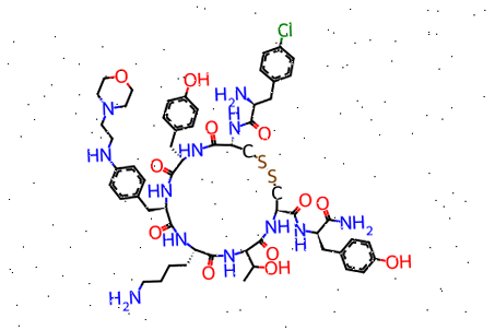 CC(O)C1NC(=O)[C@H](CCCCN)NC(=O)[C@@H](Cc2ccc(NCCN3CCOCC3)cc2)NC(=O)[C@H](Cc2ccc(O)cc2)NC(=O)[C@H](NC(=O)[C@@H](N)Cc2ccc(Cl)cc2)CSSC[C@@H](C(=O)N[C@H](Cc2ccc(O)cc2)C(N)=O)NC1=O